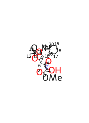 COC(=O)/C(O)=C(\CC1COC(C)(C)O1)OCc1ccccc1[N+](=O)[O-]